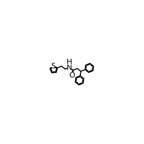 O=C(CC(c1ccccc1)c1ccccc1)NCCc1cccs1